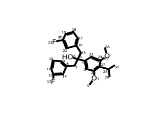 COc1cc(C(O)(Cc2cccc(F)c2)Cc2cccc(F)c2)cc(OC)c1C(C)C